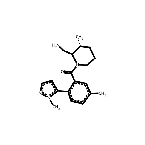 Cc1ccc(-c2ccnn2C)c(C(=O)N2CCC[C@@H](C)C2CN)c1